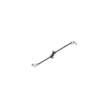 CCCCCCCCC=CCCCCCCCCCCCCOC(=O)c1ccc(C(=O)OCCCCCCCCCCCCCCCCCC)cc1